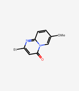 CCc1cc(=O)n2cc(OC)ccc2n1